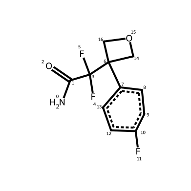 NC(=O)C(F)(F)C1(c2ccc(F)cc2)COC1